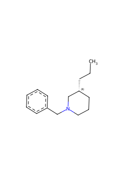 CCC[C@@H]1CCCN(Cc2ccccc2)C1